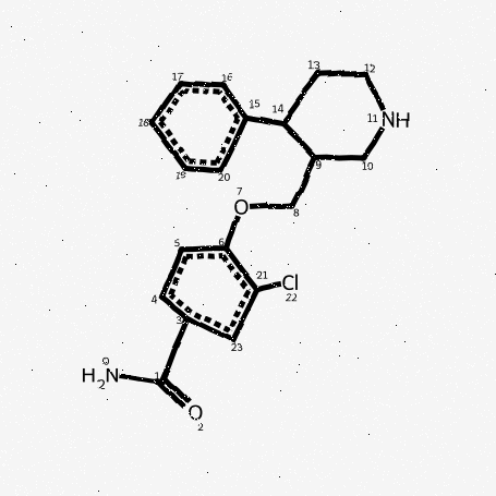 NC(=O)c1ccc(OCC2CNCCC2c2ccccc2)c(Cl)c1